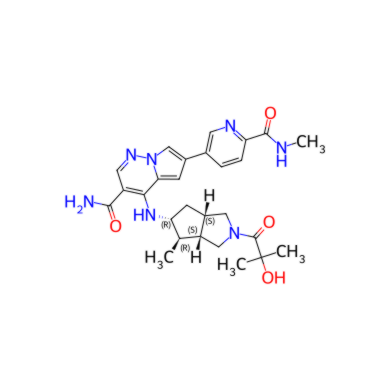 CNC(=O)c1ccc(-c2cc3c(N[C@@H]4C[C@@H]5CN(C(=O)C(C)(C)O)C[C@@H]5[C@H]4C)c(C(N)=O)cnn3c2)cn1